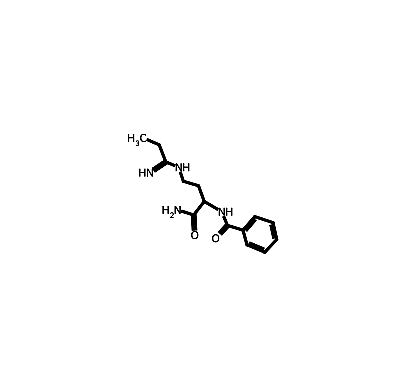 CCC(=N)NCCC(NC(=O)c1ccccc1)C(N)=O